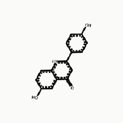 O=c1cc(-c2ccc(O)cc2)[nH]c2ccc(O)cc12